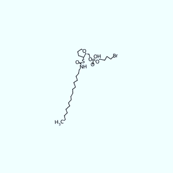 CCCCCCCCCCCCCCCCCNC(=O)S[C@H]1CCCO[C@H]1COP(=O)(O)OCCCCBr